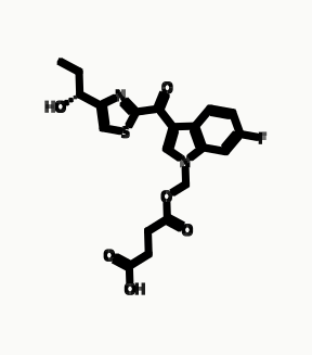 CC[C@@H](O)c1csc(C(=O)c2cn(COC(=O)CCC(=O)O)c3cc(F)ccc23)n1